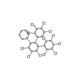 Clc1cc(-c2c(-c3ccccc3)c(Cl)c(Cl)c(Cl)c2-c2c(Cl)c(Cl)c(Cl)c(Cl)c2Cl)c(Cl)c(Cl)c1Cl